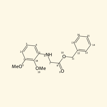 COc1cccc(NCC(=O)OCc2ccccc2)c1OC